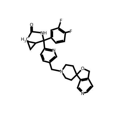 CC(=O)NC(c1ccc(F)c(F)c1)(c1ccc(CN2CCC3(CC2)OCc2ccncc23)cn1)C1CC1